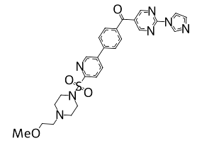 COCCN1CCN(S(=O)(=O)c2ccc(-c3ccc(C(=O)c4cnc(-n5ccnc5)nc4)cc3)cn2)CC1